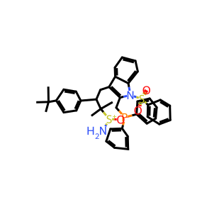 CC(C)(C)c1ccc(C(Cc2c(CP(c3ccccc3)c3ccccc3)n(S(=O)(=O)c3ccccc3)c3ccccc23)C(C)(C)[S+](N)[O-])cc1